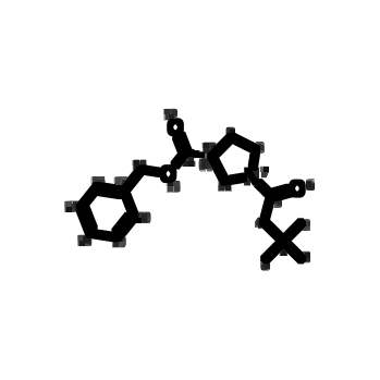 CC(C)(C)CC(=O)N1CC[C@@H](C(=O)OCc2ccccc2)C1